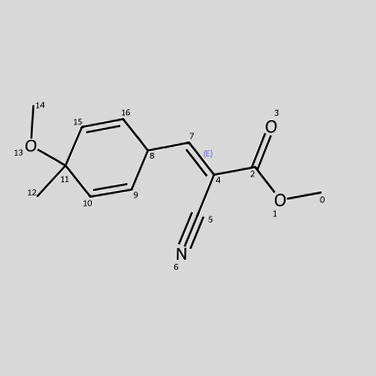 COC(=O)/C(C#N)=C/C1C=CC(C)(OC)C=C1